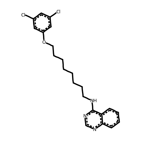 Clc1cc(Cl)cc(OCCCCCCCCNc2ncnc3ccccc23)c1